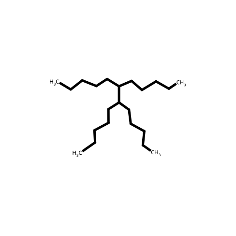 CCCCCC(CCCCC)C(CCCCC)CCCCC